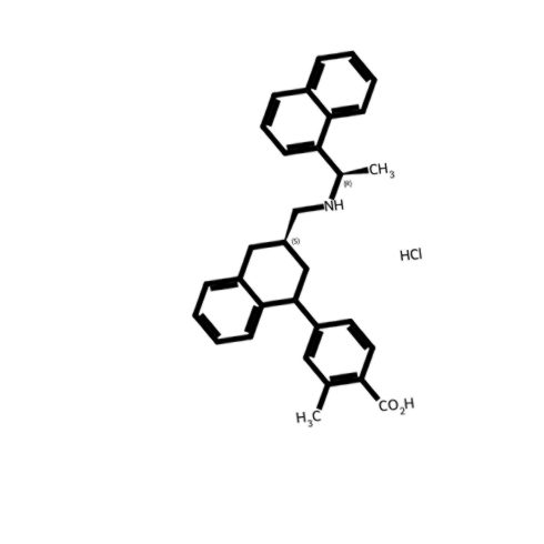 Cc1cc(C2C[C@H](CN[C@H](C)c3cccc4ccccc34)Cc3ccccc32)ccc1C(=O)O.Cl